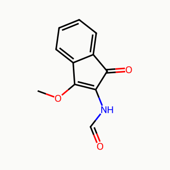 COC1=C(NC=O)C(=O)c2ccccc21